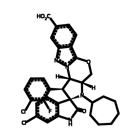 O=C(O)c1ccc2c3n(nc2c1)[C@@H]1[C@H](CO3)N(C2CCCCCC2)[C@@]2(C(=O)Nc3cc(Cl)ccc32)[C@H]1c1cccc(Cl)c1F